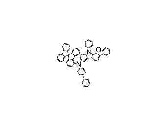 c1ccc(-c2ccc(N(c3ccc4c(c3)c3ccc5c6ccccc6oc5c3n4-c3ccccc3)c3cccc4c3-c3ccccc3C43c4ccccc4-c4ccccc43)cc2)cc1